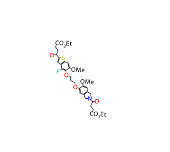 CCOC(=O)CCC(=O)c1cc2c(F)c(OCCCOc3cc4c(cc3OC)CN(C(=O)CCC(=O)OCC)C4)c(OC)cc2s1